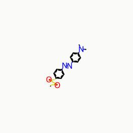 CN(C)c1ccc(N=Nc2ccc(S(C)(=O)=O)cc2)cc1